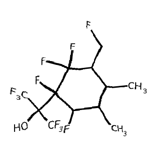 CC1C(C)C(F)C(F)(C(O)(C(F)(F)F)C(F)(F)F)C(F)(F)C1CF